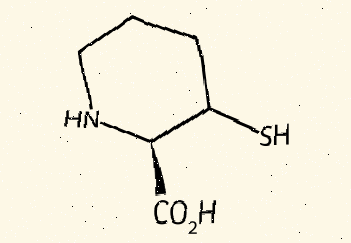 O=C(O)[C@H]1NCCCC1S